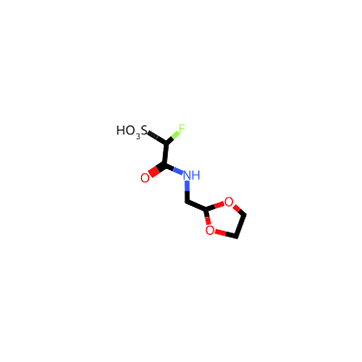 O=C(NCC1OCCO1)C(F)S(=O)(=O)O